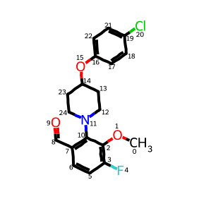 COc1c(F)ccc(C=O)c1N1CCC(Oc2ccc(Cl)cc2)CC1